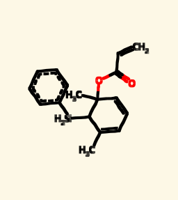 C=CC(=O)OC1(C)C=CC=C(C)C1[SiH2]c1ccccc1